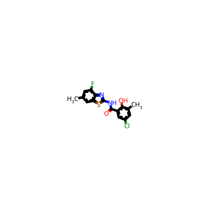 Cc1cc(F)c2nc(NC(=O)c3cc(Cl)cc(C)c3O)sc2c1